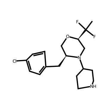 CC(F)(F)[C@H]1CN(C2CCNCC2)[C@@H](Cc2ccc(Cl)cc2)CO1